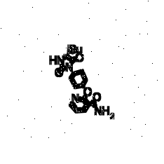 CC[C@H](C)[C@@H]1NC(=O)N([C@H]2CC[C@H](Oc3ncccc3C(N)=O)CC2)C1=O